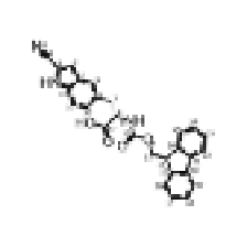 N#Cc1cc2cc(C[C@H](NC(=O)OCC3c4ccccc4-c4ccccc43)C(=O)O)ccc2[nH]1